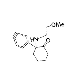 COCCNC1(c2cc#ccc2)CCCCC1=O